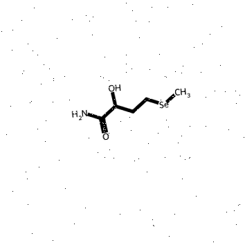 C[Se]CCC(O)C(N)=O